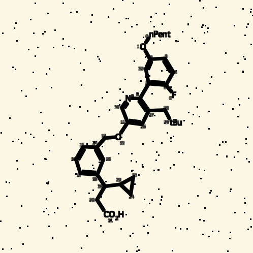 CCCCCOc1ccc(F)c(-c2ncc(OCc3cccc(C(CC(=O)O)C4CC4)c3)cc2CC(C)(C)C)c1